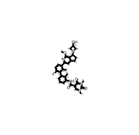 COc1nc(-c2ccc(F)c(-c3cccc(NC(=O)c4cn(C)c(=O)n(C)c4=O)c3C)c2F)cc2c1C(N1CC(O)C1)CC2